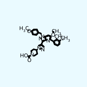 COc1ccc(Cn2nc(-c3cnn(C4CCN(C(=O)O)CC4)c3)c3nc(-c4cccc(C)c4C)c(OC)cc32)cc1